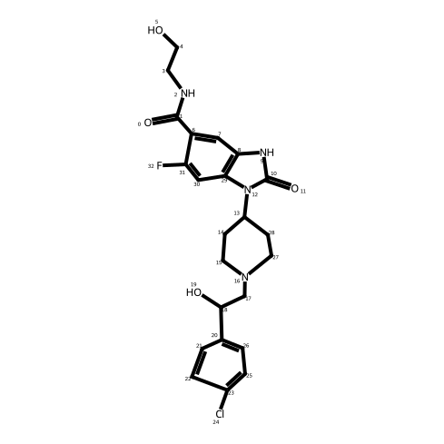 O=C(NCCO)c1cc2[nH]c(=O)n(C3CCN(CC(O)c4ccc(Cl)cc4)CC3)c2cc1F